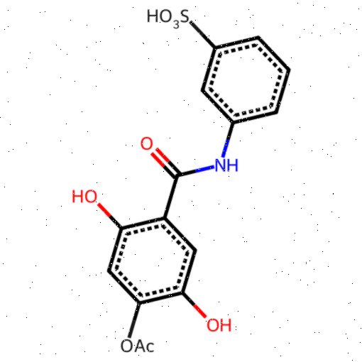 CC(=O)Oc1cc(O)c(C(=O)Nc2cccc(S(=O)(=O)O)c2)cc1O